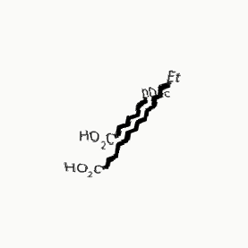 CCC=CCC=CCC=CCC=CCCCCC(=O)O.CCCCCCCCCCCCCCCCCC(=O)O